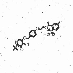 Cc1ccc(S(=O)(=O)O)c(C(C)OCCOc2ccc(COc3cnn(C(C)(C)C)c(=O)c3Cl)cc2)c1